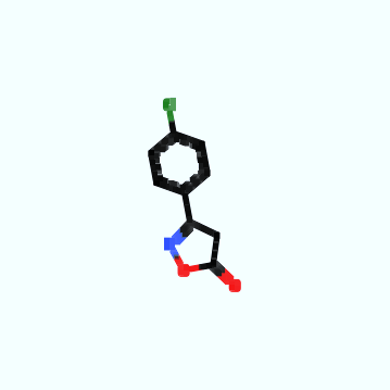 O=C1CC(c2ccc(Cl)cc2)=NO1